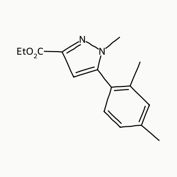 CCOC(=O)c1cc(-c2ccc(C)cc2C)n(C)n1